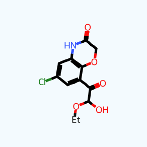 CCOC(O)C(=O)c1cc(Cl)cc2c1OCC(=O)N2